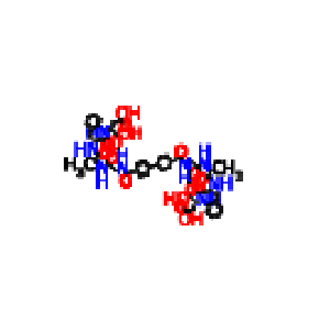 C[C@H](NC(=O)CNC(=O)c1ccc(-c2ccc(C(=O)NCC(=O)N[C@@H](C)C(=O)N[C@@H](Cc3ccccc3)C(=O)N[C@@H](CC(=O)O)C(=O)O)cc2)cc1)C(=O)N[C@@H](Cc1ccccc1)C(=O)N[C@@H](CC(=O)O)C(=O)O